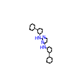 c1ccc(-c2cccc(Nc3ccnc(Nc4cccc(-c5ccccc5)c4)n3)c2)cc1